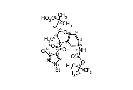 CCn1cc(S(=O)(=O)N2c3cc(NC(=O)OC(C)(C)C(F)(F)F)ccc3O[C@@H](CC(C)(C)C(=O)O)[C@H]2C)c(Cl)n1